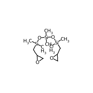 C[Si](C)(CC1CO1)O[Si](C)(C)O[Si](C)(C)CC1CO1